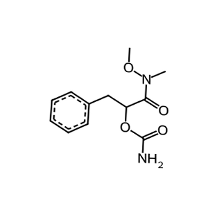 CON(C)C(=O)C(Cc1ccccc1)OC(N)=O